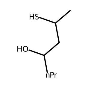 CCCC(O)CC(C)S